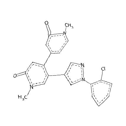 Cn1ccc(-c2cc(=O)n(C)cc2-c2cnn(-c3ccccc3Cl)c2)cc1=O